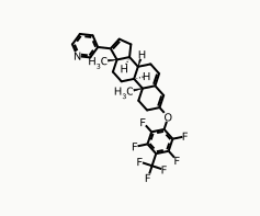 C[C@]12CCC(Oc3c(F)c(F)c(C(F)(F)F)c(F)c3F)=CC1=CC[C@@H]1[C@@H]2CC[C@]2(C)C(c3cccnc3)=CC[C@@H]12